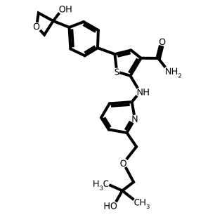 CC(C)(O)COCc1cccc(Nc2sc(-c3ccc(C4(O)COC4)cc3)cc2C(N)=O)n1